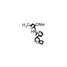 COc1cc(C)sc1CNCC[C@@]1(c2ccccn2)CCOC2(CCCC2)C1